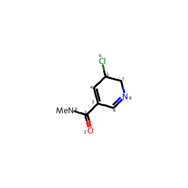 CNC(=O)C1=CC(Cl)CN=C1